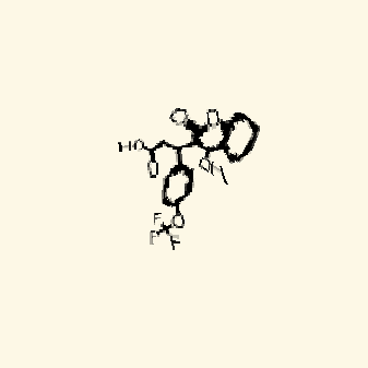 O=C(O)CC(c1ccc(OC(F)(F)F)cc1)c1c(O)c2ccccc2oc1=O